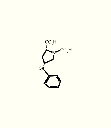 O=C(O)[C@H]1C[C@@H]([Se]c2ccccc2)CN1C(=O)O